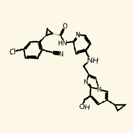 N#Cc1ccc(Cl)cc1[C@H]1C[C@@H]1C(=O)Nc1cc(NCc2cn3cc(C4CC4)cc(CO)c3n2)ccn1